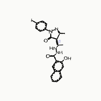 CC1=NN(c2ccc(I)cc2)C(=O)/C1=C(/C)NNC(=O)c1cc2ccccc2cc1O